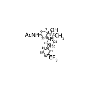 CC(=O)Nc1ccc(C(O)C(C)N2CCN(c3cccc(C(F)(F)F)c3)CC2)cc1